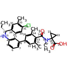 CC[C@@H](Nc1cccc(-c2cc(C)c(C(=O)N(C)C3(C(=O)O)CC3)c(C)c2)c1)c1ccc(Cl)c(C)c1